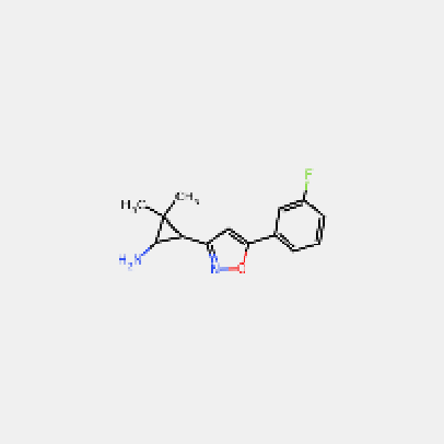 CC1(C)C(N)C1c1cc(-c2cccc(F)c2)on1